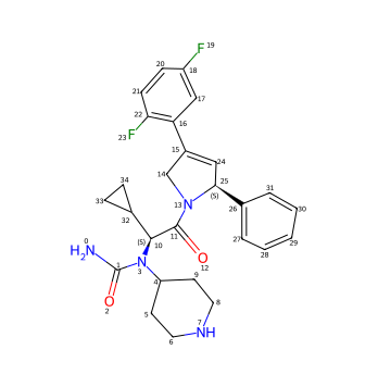 NC(=O)N(C1CCNCC1)[C@H](C(=O)N1CC(c2cc(F)ccc2F)=C[C@H]1c1ccccc1)C1CC1